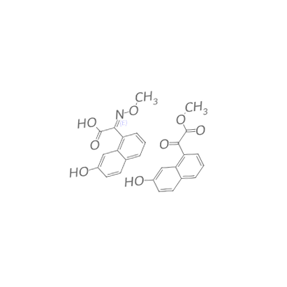 CO/N=C(/C(=O)O)c1cccc2ccc(O)cc12.COC(=O)C(=O)c1cccc2ccc(O)cc12